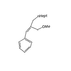 CCCCCCCCC([C]OC)=Cc1ccccc1